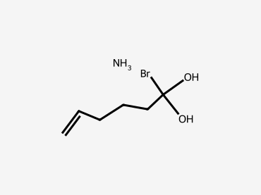 C=CCCCC(O)(O)Br.N